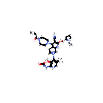 C=CC(=O)N1CCN(c2c(C#N)c(OC[C@@H]3CCCN3C)nc3c2CCN(c2c(C)cnc4[nH]c(=O)oc24)C3)CC1